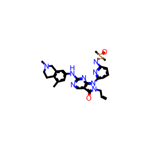 C=CCn1c(=O)c2cnc(Nc3cc(C)c4c(c3)CN(C)CC4)nc2n1-c1cccc(N=S(C)(C)=O)n1